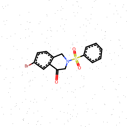 O=C1CN(S(=O)(=O)c2ccccc2)Cc2ccc(Br)cc21